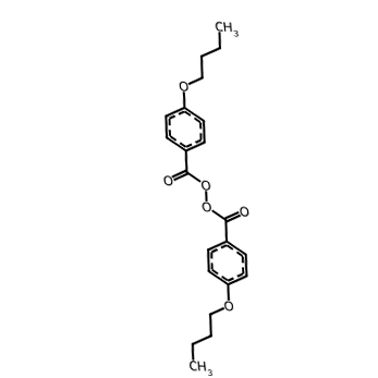 CCCCOc1ccc(C(=O)OOC(=O)c2ccc(OCCCC)cc2)cc1